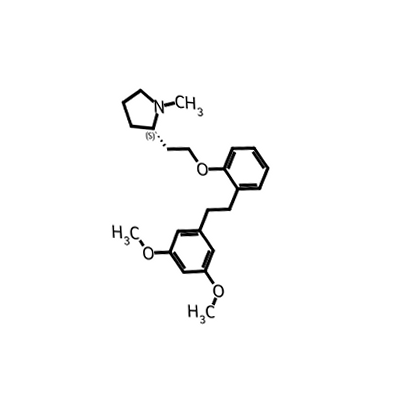 COc1cc(CCc2ccccc2OCC[C@@H]2CCCN2C)cc(OC)c1